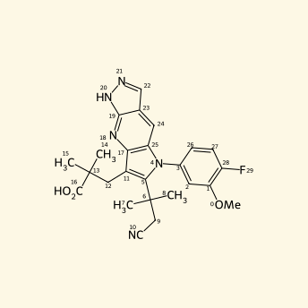 COc1cc(-n2c(C(C)(C)CC#N)c(CC(C)(C)C(=O)O)c3nc4[nH]ncc4cc32)ccc1F